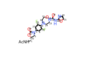 CC(=O)NC[C@H]1CN(c2cc(F)c(N3CCON(C(=O)Nc4ncco4)CC3)c(F)c2)C(=O)O1